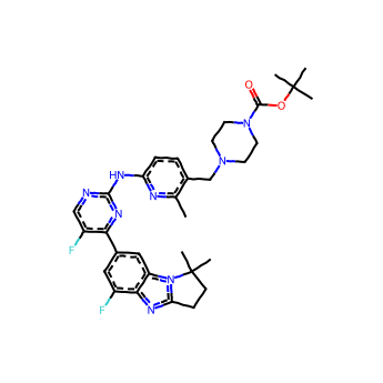 Cc1nc(Nc2ncc(F)c(-c3cc(F)c4nc5n(c4c3)C(C)(C)CC5)n2)ccc1CN1CCN(C(=O)OC(C)(C)C)CC1